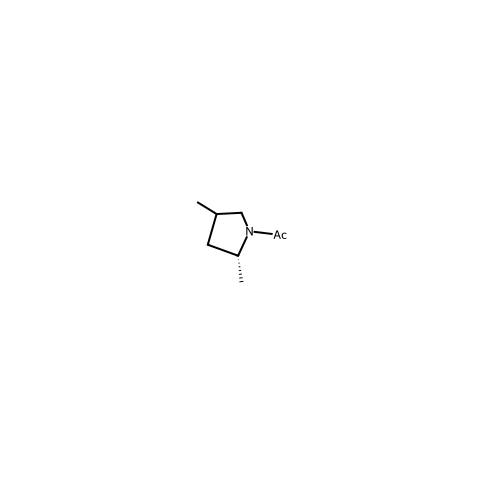 CC(=O)N1CC(C)C[C@H]1C